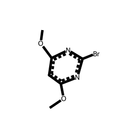 COc1cc(OC)nc(Br)n1